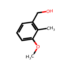 COc1cccc([CH]O)c1C